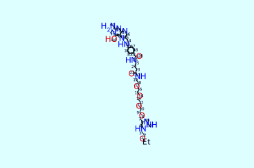 CCOCCN/C=C(/COCCOCCOCCOCCNC(=O)CCCNC(=O)c1ccc(NCc2cnc3nc(N)nc(O)c3n2)cc1)N=N